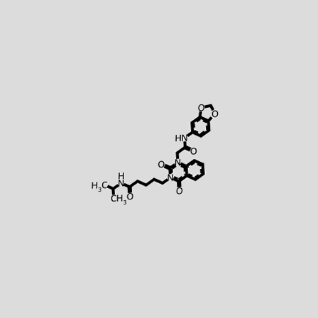 CC(C)NC(=O)CCCCn1c(=O)c2ccccc2n(CC(=O)Nc2ccc3c(c2)OCO3)c1=O